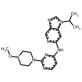 CON1CCN(c2nccc(Nc3cc4c(cn3)ncn4C(C)C)n2)CC1